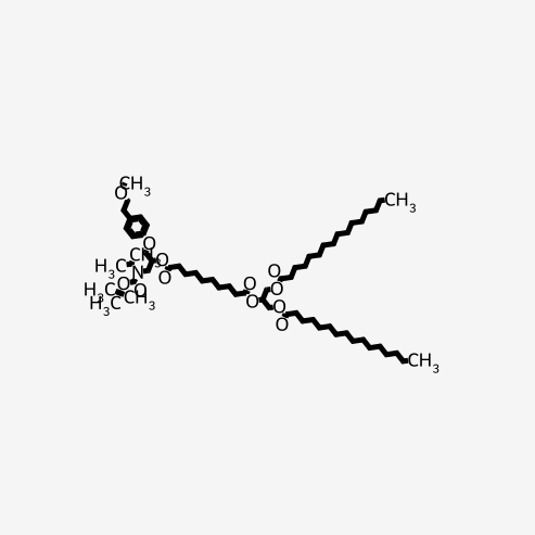 CCCCCCCCCCCCCCCC(=O)OCC(COC(=O)CCCCCCCCCCCCCCC)OC(=O)CCCCCCCCC(=O)OC(COc1ccc(CCOC)cc1)CN(C(=O)OC(C)(C)C)C(C)C